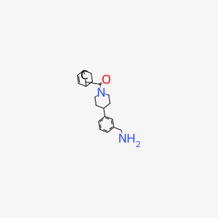 NCc1cccc(C2CCN(C(=O)C3CC4C=CC3CC4)CC2)c1